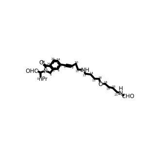 CCCC(C=O)N1Cc2cc(C#CCCNCCCCOCCCCNC=O)ccc2C1=O